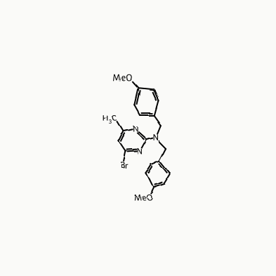 COc1ccc(CN(Cc2ccc(OC)cc2)c2nc(C)cc(Br)n2)cc1